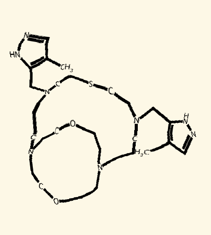 Cc1cn[nH]c1CN1CCSCCN(Cc2[nH]ncc2C)CCN2CCOCCN(CCOCC2)CC1